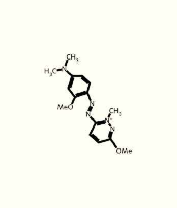 COc1ccc(N=Nc2ccc(N(C)C)cc2OC)[n+](C)n1